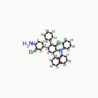 Nc1ccc(-c2cc(-c3ccccc3)c(N(c3ccccc3)c3ccccc3)c(Br)c2-c2ccccc2)cc1Br